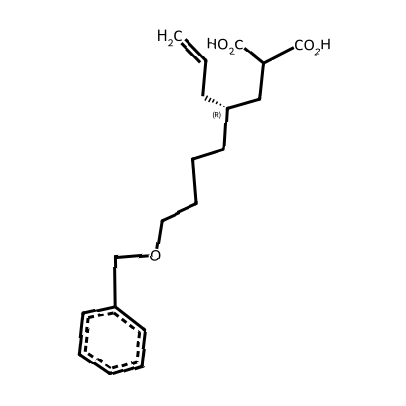 C=CC[C@@H](CCCCOCc1ccccc1)CC(C(=O)O)C(=O)O